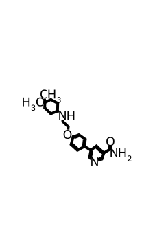 CC1(C)CCC(NCCOc2ccc(-c3cncc(C(N)=O)c3)cc2)CC1